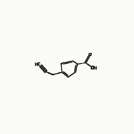 C#CCc1ccc(C(=O)O)cc1